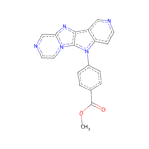 COC(=O)c1ccc(-n2c3ccncc3c3nc4cnccn4c32)cc1